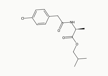 CC(C)COC(=O)[C@H](C)NC(=O)Cc1ccc(Cl)cc1